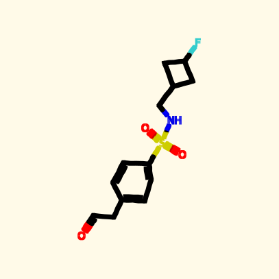 O=CCc1ccc(S(=O)(=O)NCC2CC(F)C2)cc1